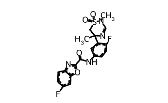 CN1C=NC(C)(c2cc(NC(=O)c3nc4ccc(F)cc4o3)ccc2F)CS1(=O)=O